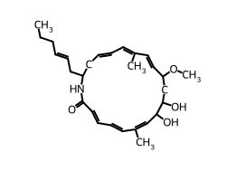 CCC/C=C/CC1C/C=C/C=C(C)/C=C/C(OC)CC(O)C(O)\C=C(C)/C=C/C=C/C(=O)N1